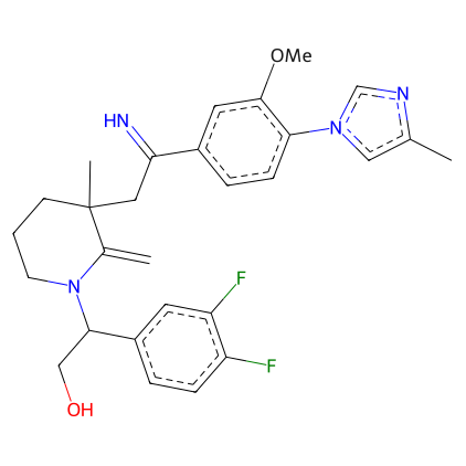 C=C1N(C(CO)c2ccc(F)c(F)c2)CCCC1(C)CC(=N)c1ccc(-n2cnc(C)c2)c(OC)c1